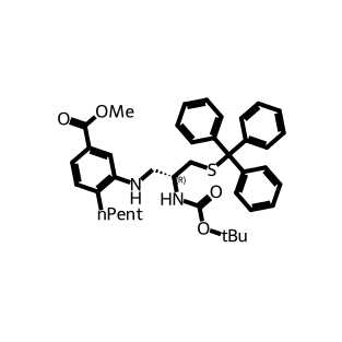 CCCCCc1ccc(C(=O)OC)cc1NC[C@H](CSC(c1ccccc1)(c1ccccc1)c1ccccc1)NC(=O)OC(C)(C)C